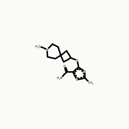 Cc1nc(OC2CC3(CCN(C)CC3)C2)c(C(N)=O)s1